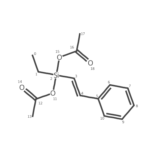 CC[Si](C=Cc1ccccc1)(OC(C)=O)OC(C)=O